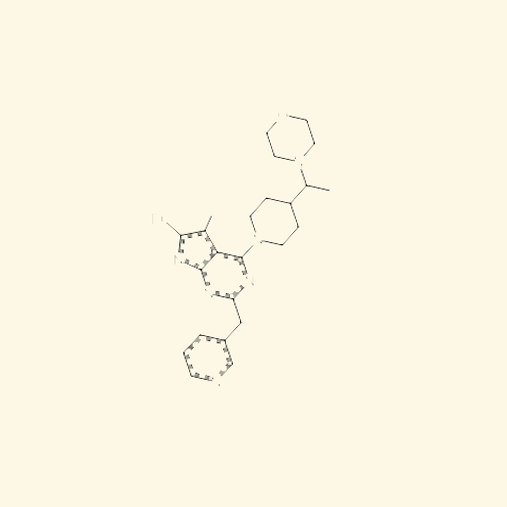 CCc1[nH]c2nc(Cc3cccnc3)nc(N3CCC(C(C)N4CCOCC4)CC3)c2c1Cl